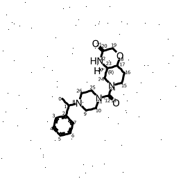 CC(c1ccccc1)N1CCN(C(=O)N2CCC3OCC(=O)N[C@@H]3C2)CC1